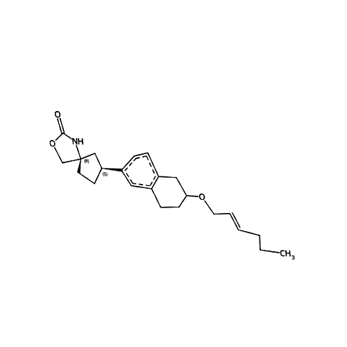 CCCC=CCOC1CCc2cc([C@H]3CC[C@]4(COC(=O)N4)C3)ccc2C1